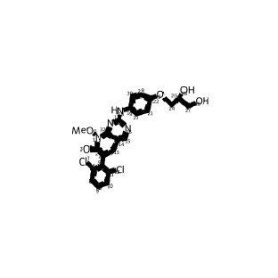 COn1c(=O)c(-c2c(Cl)cccc2Cl)cc2cnc(Nc3ccc(OCC(O)CO)cc3)nc21